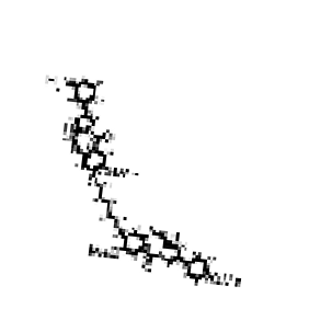 COc1ccc(C2=CN3C(=O)c4cc(OC)c(OCCCCCOc5cc6c(cc5OC)C(=O)N5C=C(c7cccc(N)c7)C[C@H]5C=N6)cc4N=C[C@@H]3C2)cc1